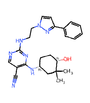 CC1(C)C[C@H](Nc2nc(NCCn3ccc(-c4ccccc4)n3)ncc2C#N)CC[C@@H]1O